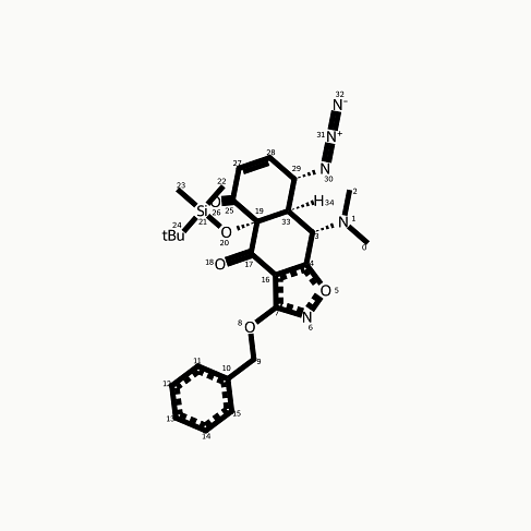 CN(C)[C@@H]1c2onc(OCc3ccccc3)c2C(=O)[C@@]2(O[Si](C)(C)C(C)(C)C)C(=O)C=C[C@H](N=[N+]=[N-])[C@@H]12